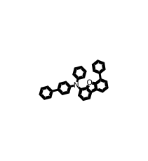 c1ccc(-c2ccc(N(c3ccccc3)c3cccc4c3oc3c(-c5ccccc5)cccc34)cc2)cc1